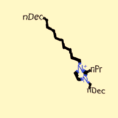 CCCCCCCCCCCCCCCCCCC[n+]1ccn(CCCCCCCCCCC)c1CCC